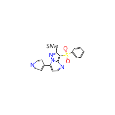 CSc1nn2c(-c3ccncc3)ccnc2c1S(=O)(=O)c1ccccc1